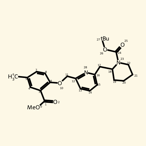 COC(=O)c1cc(C)ccc1OCc1cccc(CC2CCCCN2C(=O)OC(C)(C)C)n1